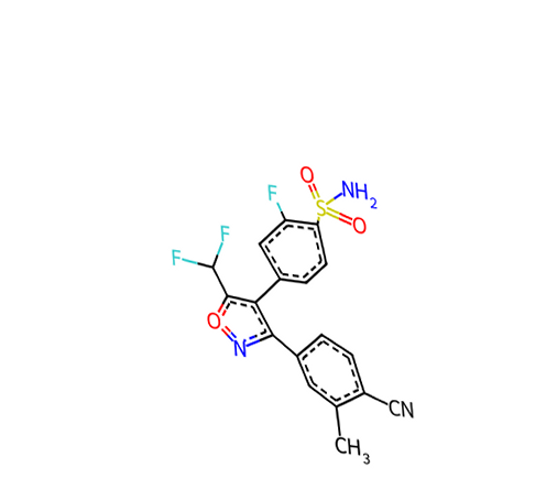 Cc1cc(-c2noc(C(F)F)c2-c2ccc(S(N)(=O)=O)c(F)c2)ccc1C#N